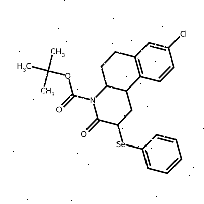 CC(C)(C)OC(=O)N1C(=O)C([Se]c2ccccc2)CC2c3ccc(Cl)cc3CCC21